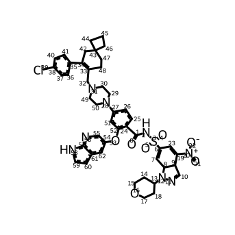 O=C(NS(=O)(=O)C1=CC2C(C=NN2C2CCOCC2)C([N+](=O)[O-])=C1)c1ccc(N2CCN(CC3=C(c4ccc(Cl)cc4)CC4(CCC4)CC3)CC2)cc1Oc1cnc2[nH]ccc2c1